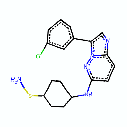 NSC1CCC(Nc2ccc3ncc(-c4cccc(Cl)c4)n3n2)CC1